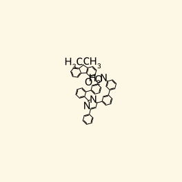 CC1(C)c2ccccc2-c2c1ccc1c2Oc2c(cccc2-c2ccccc2-c2nc(-c3ccccc3)cc(-c3cccc(-c4cccc(N)c4)c3)n2)O1